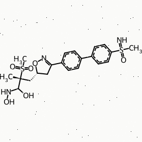 C[C@@](C[C@H]1CC(c2ccc(-c3ccc(S(C)(=N)=O)cc3)cc2)=NO1)(C(O)NO)S(C)(=O)=O